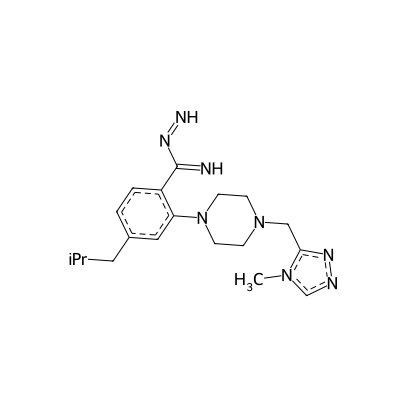 CC(C)Cc1ccc(C(=N)N=N)c(N2CCN(Cc3nncn3C)CC2)c1